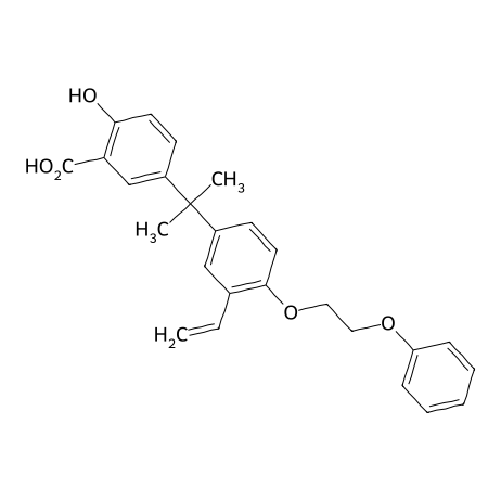 C=Cc1cc(C(C)(C)c2ccc(O)c(C(=O)O)c2)ccc1OCCOc1ccccc1